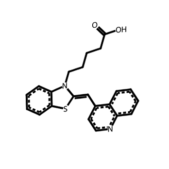 O=C(O)CCCCN1/C(=C/c2ccnc3ccccc23)Sc2ccccc21